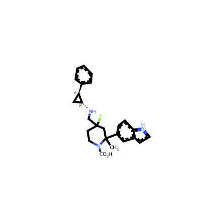 CC1(c2ccc3[nH]ccc3c2)CC(F)(CN[C@@H]2C[C@H]2c2ccccc2)CCN1C(=O)O